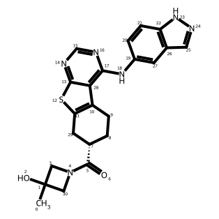 CC1(O)CN(C(=O)[C@H]2CCc3c(sc4ncnc(Nc5ccc6[nH]ncc6c5)c34)C2)C1